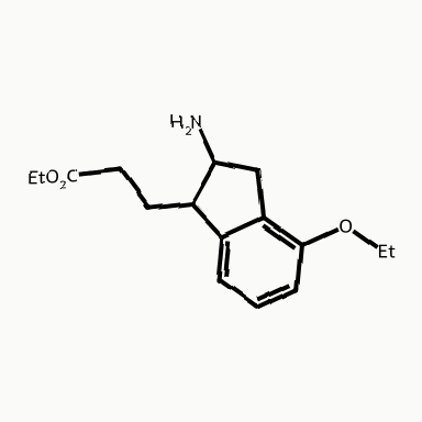 CCOC(=O)CCC1c2cccc(OCC)c2CC1N